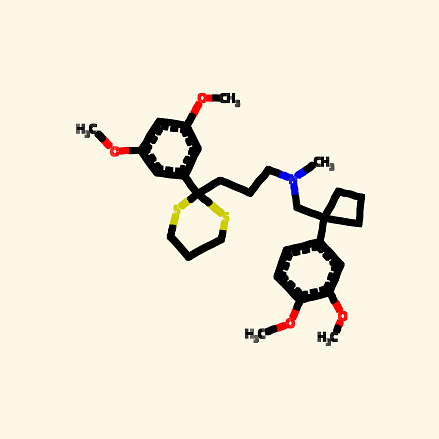 COc1cc(OC)cc(C2(CCCN(C)CC3(c4ccc(OC)c(OC)c4)CCC3)SCCCS2)c1